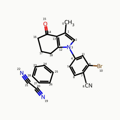 Cc1cn(-c2ccc(C#N)c(Br)c2)c2c1C(=O)CCC2.N#CC#N.c1ccccc1